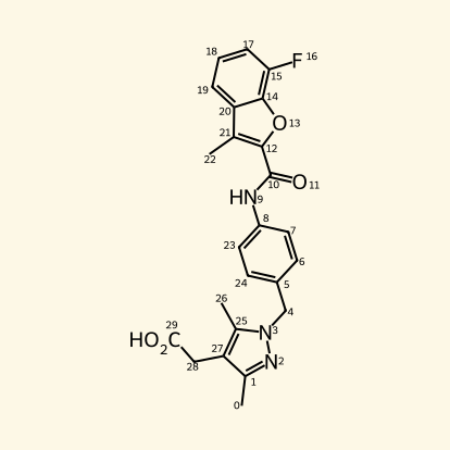 Cc1nn(Cc2ccc(NC(=O)c3oc4c(F)cccc4c3C)cc2)c(C)c1CC(=O)O